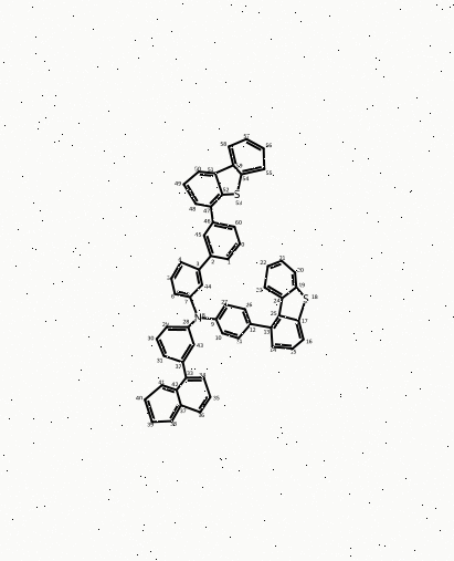 c1cc(-c2cccc(N(c3ccc(-c4cccc5sc6ccccc6c45)cc3)c3cccc(-c4cccc5ccccc45)c3)c2)cc(-c2cccc3c2sc2ccccc23)c1